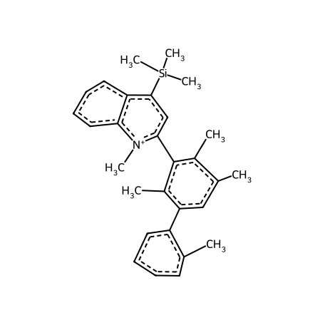 Cc1ccccc1-c1cc(C)c(C)c(-c2cc([Si](C)(C)C)c3ccccc3[n+]2C)c1C